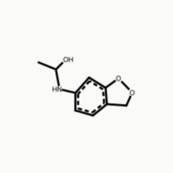 CC(O)Nc1ccc2c(c1)OOC2